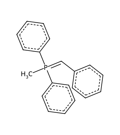 CP(=Cc1ccccc1)(c1ccccc1)c1ccccc1